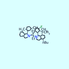 CCCCc1ccc2c3c4[n+](ccc13)C1(CC)C([n+]3ccc5ccccc5c3-c3cc(C)ccc3C)C1(CC)c1ccc(F)c(c1-4)C2(C)C